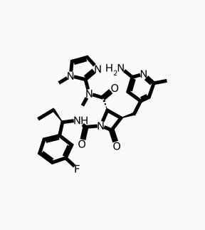 CC[C@@H](NC(=O)N1C(=O)[C@H](Cc2cc(C)nc(N)c2)[C@H]1C(=O)N(C)c1nccn1C)c1cccc(F)c1